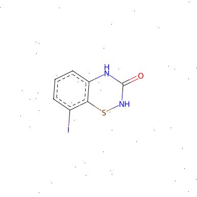 O=C1NSc2c(I)cccc2N1